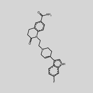 NC(=O)c1ccc2c(c1)CCC(=O)N2CCN1CC=C(c2c[nH]c3cc(F)ccc23)CC1